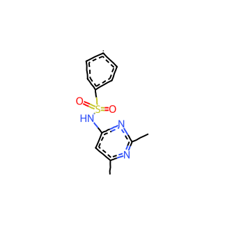 Cc1cc(NS(=O)(=O)c2cc[c]cc2)nc(C)n1